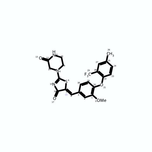 COc1cc(/C=C2\SC(N3CCNC(=O)C3)=NC2=O)ccc1Oc1ccc(C)cc1C(F)(F)F